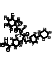 C[C@@H](C(=O)N(Cc1ccc(C2CCCCC2)cc1)c1ccc(C(=O)NO)cc1)N(C)S(=O)(=O)c1c(F)c(F)c(F)c(F)c1F